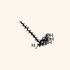 CCCCCCCCCCCCCCCCC[CH]c1cn([C@@H]2O[C@H](CO)[C@@H](O)[C@@H]2O)c(=O)nc1N